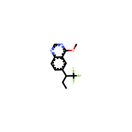 CCC(c1ccc2ncnc(OC)c2c1)C(F)(F)F